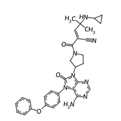 CC(C)(C=C(C#N)C(=O)N1CCC(n2c(=O)n(-c3ccc(Oc4ccccc4)cc3)c3c(N)ncnc32)C1)NC1CC1